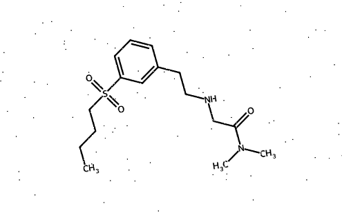 CCCCS(=O)(=O)c1cccc(CCNCC(=O)N(C)C)c1